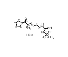 CS(=O)(=O)NC(=N)NCCSC[C@@H](N)C(=O)N1CCCC1.Cl